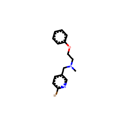 CN(CCOc1ccccc1)Cc1ccc(Br)nc1